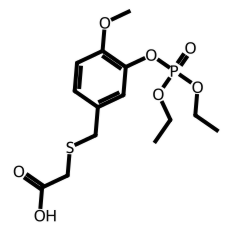 CCOP(=O)(OCC)Oc1cc(CSCC(=O)O)ccc1OC